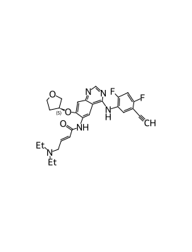 C#Cc1cc(Nc2ncnc3cc(O[C@H]4CCOC4)c(NC(=O)C=CCN(CC)CC)cc23)c(F)cc1F